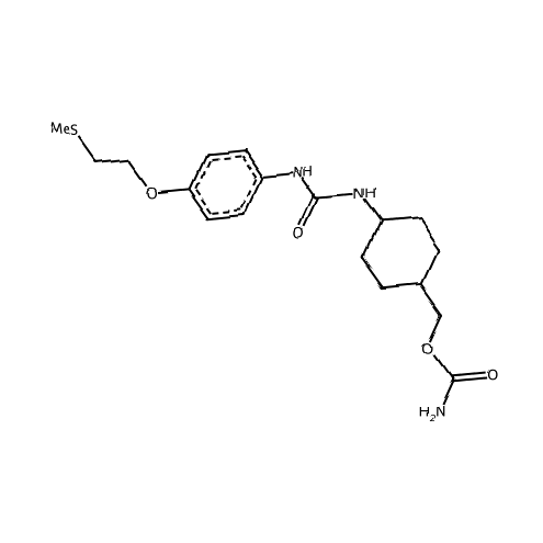 CSCCOc1ccc(NC(=O)NC2CCC(COC(N)=O)CC2)cc1